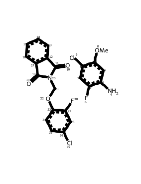 COc1cc(N)c(F)cc1Cl.O=C1c2ccccc2C(=O)N1COc1ccc(Cl)cc1F